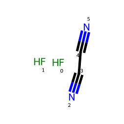 F.F.N#CC#N